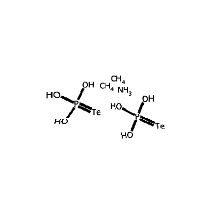 C.C.N.OP(O)(O)=[Te].OP(O)(O)=[Te]